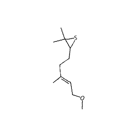 COCC=C(C)CCC1SC1(C)C